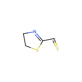 S=[C]C1=NCCS1